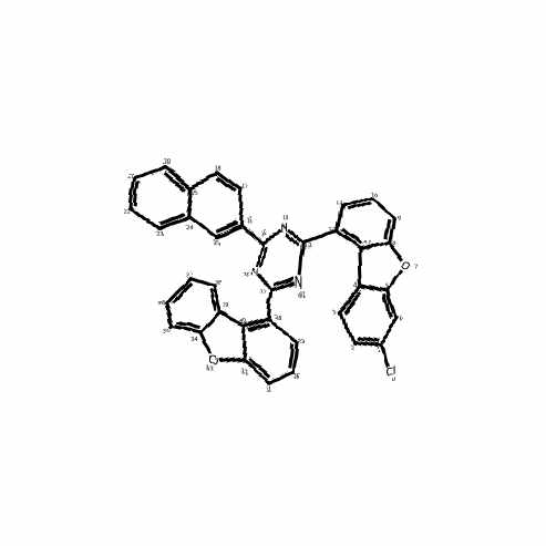 Clc1ccc2c(c1)oc1cccc(-c3nc(-c4ccc5ccccc5c4)nc(-c4cccc5oc6ccccc6c45)n3)c12